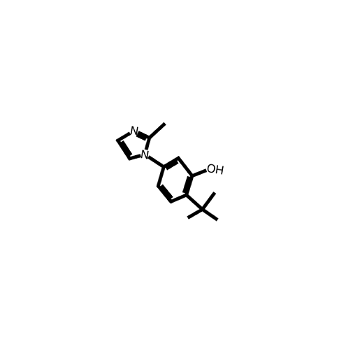 Cc1nccn1-c1ccc(C(C)(C)C)c(O)c1